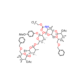 CCC1O[C@@H](OC2[C@@H](Oc3ccc(OC)cc3)OC(CO[C@@H]3OC(CC)[C@@H](O[C@@H]4OC(COCc5ccccc5)[C@H](C)[C@H](C)C4OC(C)=O)[C@@H](C)C3C)[C@@H](C)[C@H]2C)C(NC(=O)OCC(Cl)(Cl)Cl)[C@@H](C)[C@@H]1O[C@@H]1OC(COCc2ccccc2)[C@H](C)[C@H](C)C1OC(C)=O